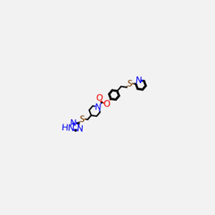 O=C(Oc1ccc(CCSc2ccccn2)cc1)N1CCC(CSc2nc[nH]n2)CC1